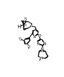 CN1CCCN(c2ncc(Oc3cc(CN4CC[C@@H]5C[C@@H]5CC4)cc(-c4cc(Cl)cc(Cl)c4)n3)cn2)CC1